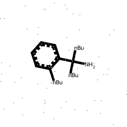 CCCCc1ccccc1C(N)(CCCC)CCCC